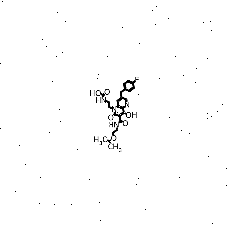 CC(C)OCCNC(=O)c1c(O)c2ncc(Cc3ccc(F)cc3)cc2n(CCNC(=O)O)c1=O